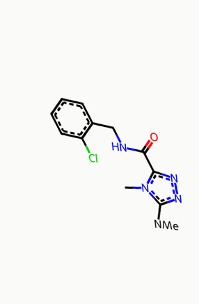 CNc1nnc(C(=O)NCc2ccccc2Cl)n1C